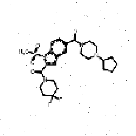 CS(=O)(=O)n1c(C(=O)N2CCC(F)(F)CC2)cc2cc(C(=O)N3CCN(C4CCCC4)CC3)ccc21